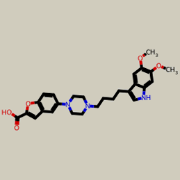 COc1cc2[nH]cc(CCCCN3CCN(c4ccc5oc(C(=O)O)cc5c4)CC3)c2cc1OC